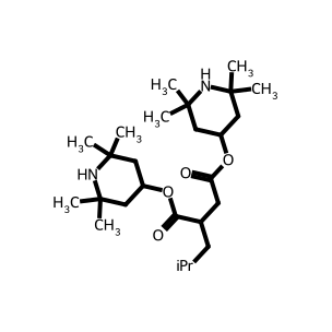 CC(C)CC(CC(=O)OC1CC(C)(C)NC(C)(C)C1)C(=O)OC1CC(C)(C)NC(C)(C)C1